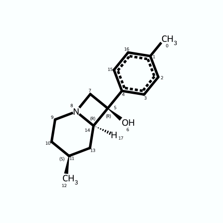 Cc1ccc([C@@]2(O)CN3CC[C@H](C)C[C@@H]32)cc1